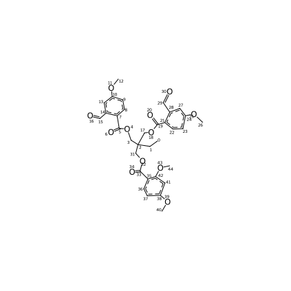 CCC(COC(=O)c1ccc(OC)cc1C=O)(COC(=O)c1ccc(OC)cc1C=O)COC(=O)c1ccc(OC)cc1OC